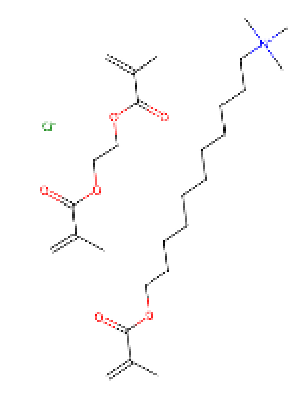 C=C(C)C(=O)OCCCCCCCCCCC[N+](C)(C)C.C=C(C)C(=O)OCCOC(=O)C(=C)C.[Cl-]